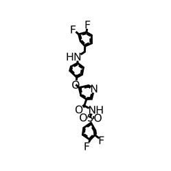 O=C(NS(=O)(=O)c1ccc(F)c(F)c1)c1cncc(Oc2ccc(NCc3ccc(F)c(F)c3)cc2)c1